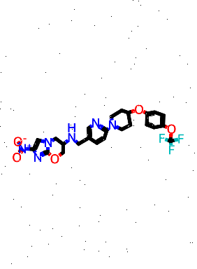 O=[N+]([O-])c1cn2c(n1)OCC(NCc1ccc(N3CCC(Oc4ccc(OC(F)(F)F)cc4)CC3)nc1)C2